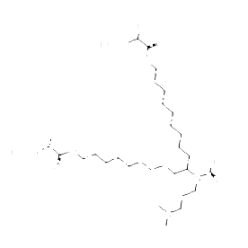 CCCCCCCCC(=O)N(CCCN(C)C)C(CCCCCCCCCOC(=O)C(CCCCCC)CCCCCCCC)CCCCCCCCCOC(=O)C(CCCCCC)CCCCCCCC